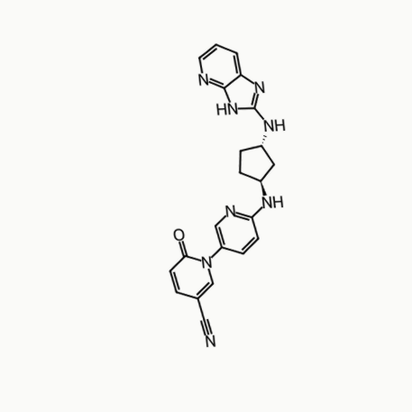 N#Cc1ccc(=O)n(-c2ccc(N[C@H]3CC[C@H](Nc4nc5cccnc5[nH]4)C3)nc2)c1